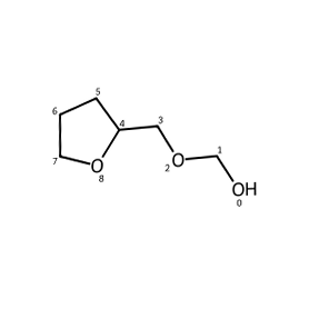 OCOCC1CCCO1